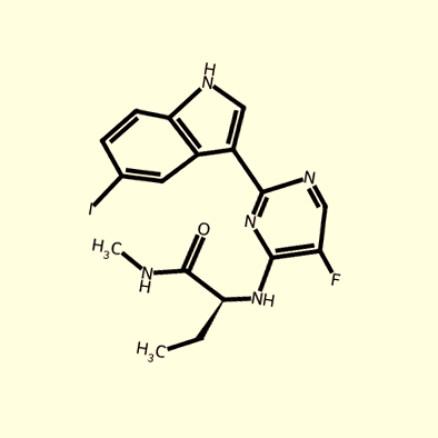 CC[C@H](Nc1nc(-c2c[nH]c3ccc(I)cc23)ncc1F)C(=O)NC